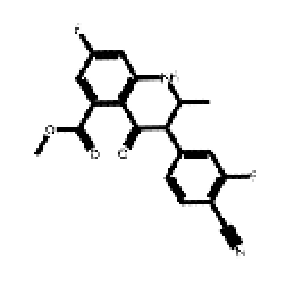 COC(=O)c1cc(F)cc2c1C(=O)C(c1ccc(C#N)c(F)c1)C(C)N2